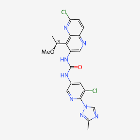 CO[C@@H](C)c1c(NC(=O)Nc2cnc(-n3cnc(C)n3)c(Cl)c2)cnc2ccc(Cl)nc12